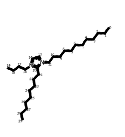 CCCCCCCCCCCC[n+]1ccn(CCCC)c1CCCCCCCCC